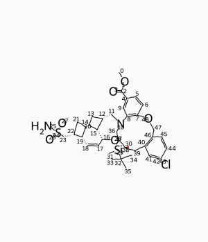 COC(=O)c1ccc2c(c1)N(C[C@H]1CC[C@H]1C(/C=C\[C@H]1CC[C@H]1CS(N)(=O)=O)O[Si](C)(C)C(C)(C)C)CCCCc1cc(Cl)ccc1CO2